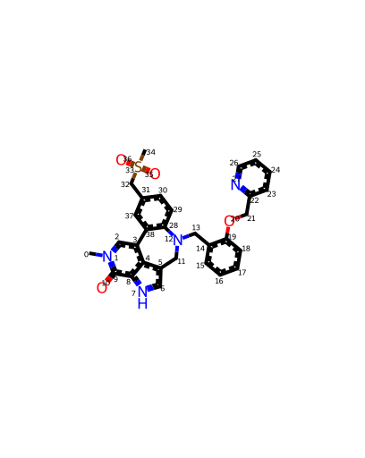 Cn1cc2c3c(c[nH]c3c1=O)CN(Cc1ccccc1OCc1ccccn1)c1ccc(CS(C)(=O)=O)cc1-2